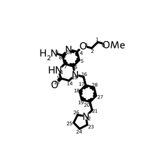 COCCOc1cc2c(c(N)n1)NC(=O)CN2Cc1ccc(CN2CCCC2)cc1